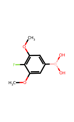 COc1cc(B(O)O)cc(OC)c1F